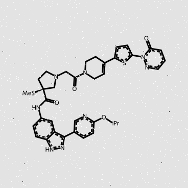 CS[C@@]1(C(=O)Nc2ccc3[nH]nc(-c4ccc(OC(C)C)nc4)c3c2)CCN(CC(=O)N2CC=C(c3ccc(-n4ncccc4=O)s3)CC2)C1